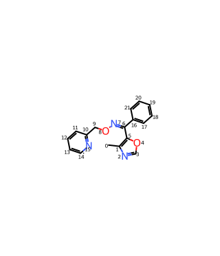 Cc1ncoc1C(=NOCc1ccc[c]n1)c1ccccc1